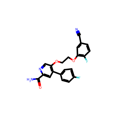 N#Cc1ccc(F)c(OCCOc2cnc(C(N)=O)cc2-c2ccc(F)cc2)c1